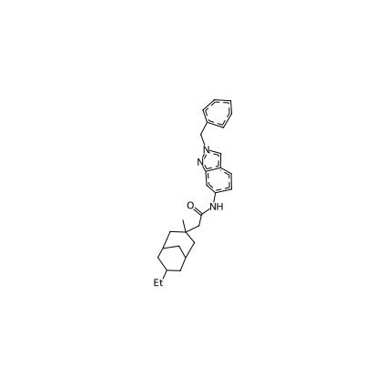 CCC1CC2CC(C1)CC(C)(CC(=O)Nc1ccc3cn(Cc4ccccc4)nc3c1)C2